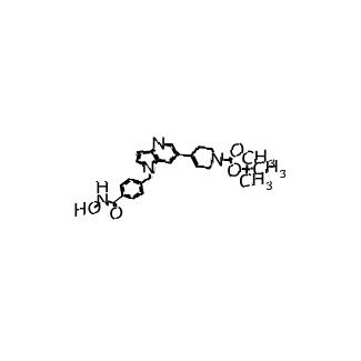 CC(C)(C)OC(=O)N1CC=C(c2cnc3ccn(Cc4ccc(C(=O)NO)cc4)c3c2)CC1